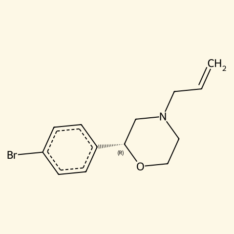 C=CCN1CCO[C@H](c2ccc(Br)cc2)C1